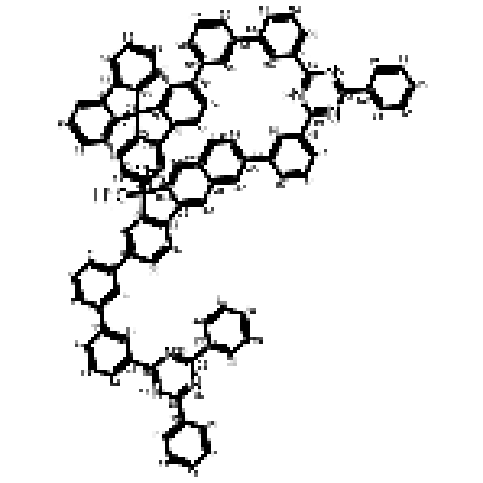 CC1(C)c2cc(-c3cccc(-c4cccc(-c5nc(-c6ccccc6)nc(-c6ccccc6)n5)c4)c3)ccc2-c2cc3cc(-c4cccc(-c5nc(-c6ccccc6)nc(-c6cccc(-c7cccc(-c8ccc9c(c8)C8(c%10ccccc%10-c%10ccccc%108)c8ccccc8-9)c7)c6)n5)c4)ccc3cc21